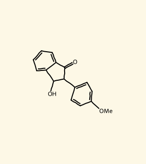 COc1ccc(C2C(=O)c3ccccc3C2O)cc1